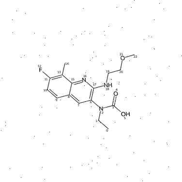 CCN(C(=O)O)c1cc2ccc(F)c(C)c2nc1NCCOC